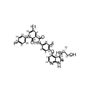 CCc1cc(C(=O)Nc2ccc(Oc3ccnc4[nH]nc(N[C@H](C)CO)c34)c(F)c2)c(=O)n(-c2ccc(F)cc2)c1